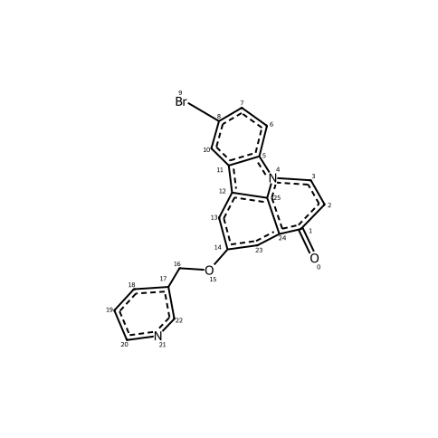 O=c1ccn2c3ccc(Br)cc3c3cc(OCc4cccnc4)cc1c32